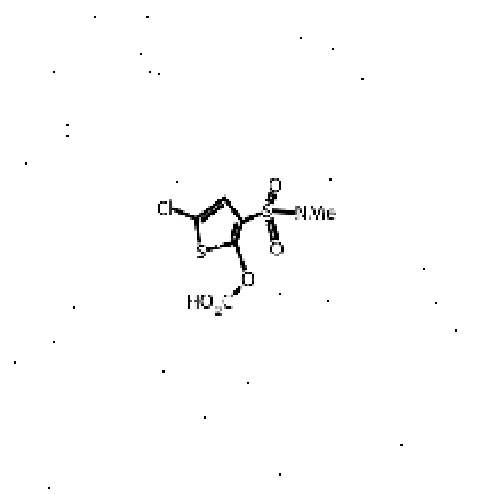 CNS(=O)(=O)c1cc(Cl)sc1OC(=O)O